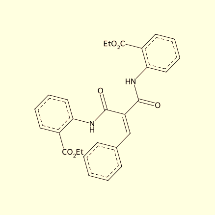 CCOC(=O)c1ccccc1NC(=O)C(=Cc1ccccc1)C(=O)Nc1ccccc1C(=O)OCC